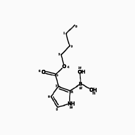 CCCCOC(=O)c1cc[nH]c1B(O)O